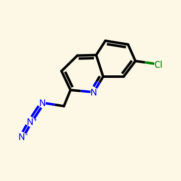 [N-]=[N+]=NCc1ccc2ccc(Cl)cc2n1